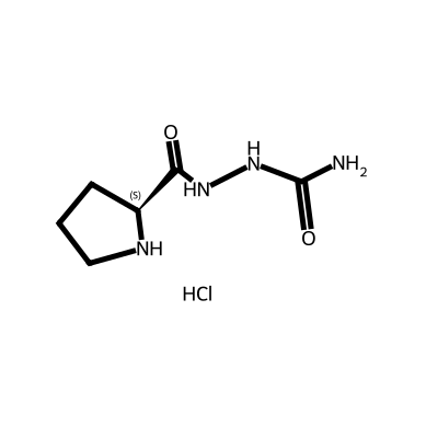 Cl.NC(=O)NNC(=O)[C@@H]1CCCN1